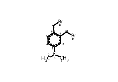 CN(C)c1ccc(CBr)c(CBr)c1